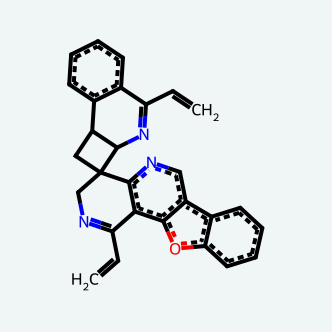 C=CC1=NC2C(CC23CN=C(C=C)c2c3ncc3c2oc2ccccc23)c2ccccc21